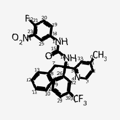 Cc1ccnc(C(Cc2ccccc2)(NC(=O)Nc2ccc(F)c([N+](=O)[O-])c2)c2cccc(C(F)(F)F)c2)c1